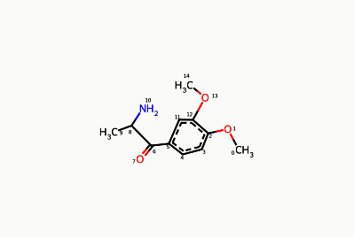 COc1ccc(C(=O)C(C)N)cc1OC